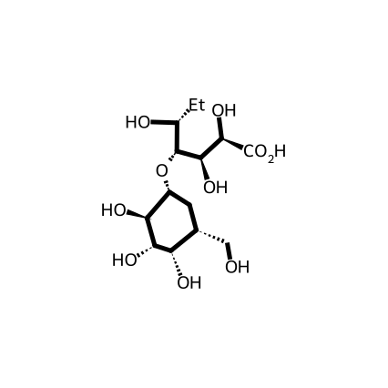 CC[C@@H](O)[C@@H](O[C@@H]1C[C@H](CO)[C@H](O)[C@H](O)[C@H]1O)[C@H](O)[C@@H](O)C(=O)O